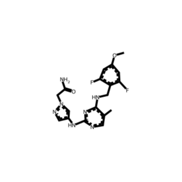 COc1cc(F)c(CNc2nc(Nc3cnn(CC(N)=O)c3)ncc2C)c(F)c1